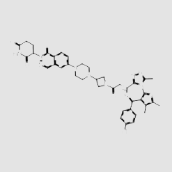 Cc1sc2c(c1C)C(c1ccc(Cl)cc1)=N[C@@H](CC(=O)N1CC(N3CCN(c4ccc5c(=O)n(C6CCC(=O)NC6=O)ncc5c4)CC3)C1)c1nnc(C)n1-2